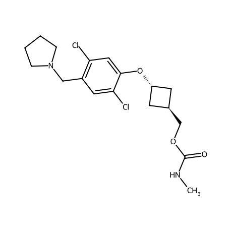 CNC(=O)OC[C@H]1C[C@H](Oc2cc(Cl)c(CN3CCCC3)cc2Cl)C1